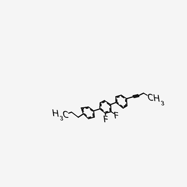 CCC#Cc1ccc(-c2ccc(-c3ccc(CCC)cc3)c(F)c2F)cc1